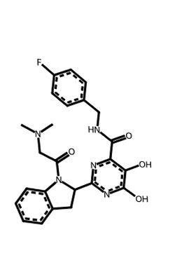 CN(C)CC(=O)N1c2ccccc2CC1c1nc(O)c(O)c(C(=O)NCc2ccc(F)cc2)n1